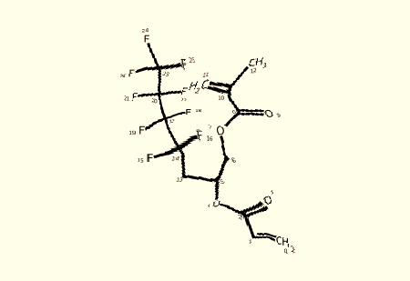 C=CC(=O)OC(COC(=O)C(=C)C)CC(F)(F)C(F)(F)C(F)(F)C(F)(F)F